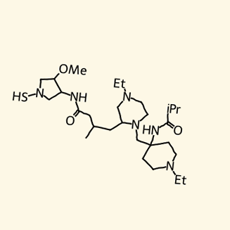 CCN1CCC(CN2CCN(CC)CC2CC(C)CC(=O)NC2CN(S)CC2OC)(NC(=O)C(C)C)CC1